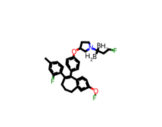 BC(B)(CCF)N1CCC(Oc2ccc(C3=C(c4ccc(C)cc4F)CCCc4cc(OF)ccc43)cc2)C1